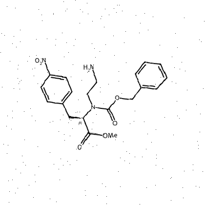 COC(=O)[C@@H](Cc1ccc([N+](=O)[O-])cc1)N(CCN)C(=O)OCc1ccccc1